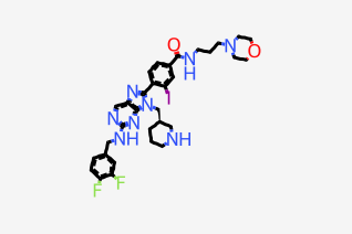 O=C(NCCCN1CCOCC1)c1ccc(-c2nc3cnc(NCc4ccc(F)c(F)c4)nc3n2C[C@@H]2CCCNC2)c(I)c1